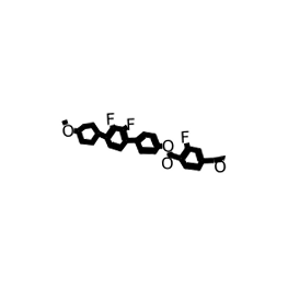 COC1CCC(c2ccc(-c3ccc(OC(=O)c4ccc(C5CO5)cc4F)cc3)c(F)c2F)CC1